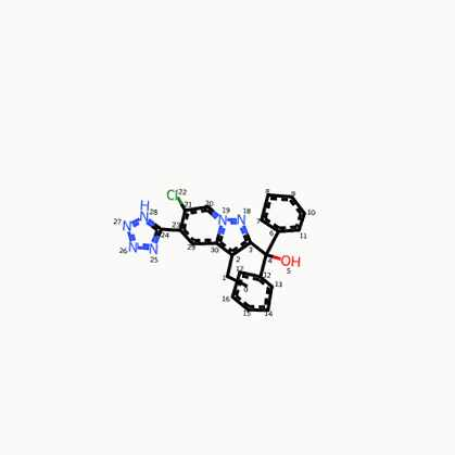 CCc1c(C(O)(c2ccccc2)c2ccccc2)nn2cc(Cl)c(-c3nnn[nH]3)cc12